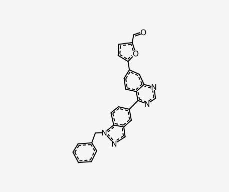 O=Cc1ccc(-c2ccc3c(-c4ccc5c(cnn5Cc5ccccc5)c4)ncnc3c2)o1